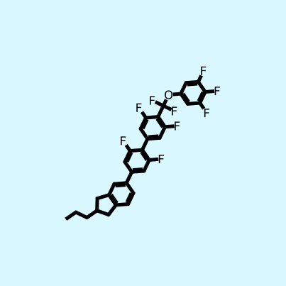 CCCC1Cc2ccc(-c3cc(F)c(-c4cc(F)c(C(F)(F)Oc5cc(F)c(F)c(F)c5)c(F)c4)c(F)c3)cc2C1